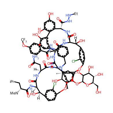 CCNNC(=O)[C@@H]1NC(=O)[C@H]2NC(=O)[C@H](NC(=O)[C@@H]3NC(=O)[C@H](CC(N)=O)NC(=O)[C@H](NC(=O)[C@@H](CC(C)C)NC)[C@H](O)c4ccc(c(Cl)c4)Oc4cc3cc(c4O[C@@H]3O[C@H](CO)[C@@H](O)[C@H](O)C3O[C@H]3C[C@](C)(NCc4cccc(NC(=O)c5ccc(OC(F)(F)F)cc5)c4)[C@H](O)[C@H](C)O3)Oc3ccc(cc3Cl)[C@H]2O)c2ccc(O)c(c2)-c2c(O)cc(O)cc21